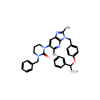 CCCCc1nc2cc(N3CCCN(Cc4ccccc4)C3=O)c(C)nc2n1Cc1ccc(OC(C(=O)O)c2ccccc2)cc1